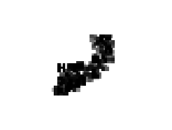 CC(C(=O)Nc1cc(C(C)(C)C(F)(F)F)no1)c1ccc(-c2nn(C(C)C)c(NC(=O)OC(C)(C)C)c2C(N)=O)cn1